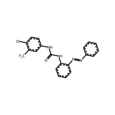 O=C(Nc1ccc(Cl)c(C(F)(F)F)c1)Nc1ccccc1/N=N/c1ccccc1